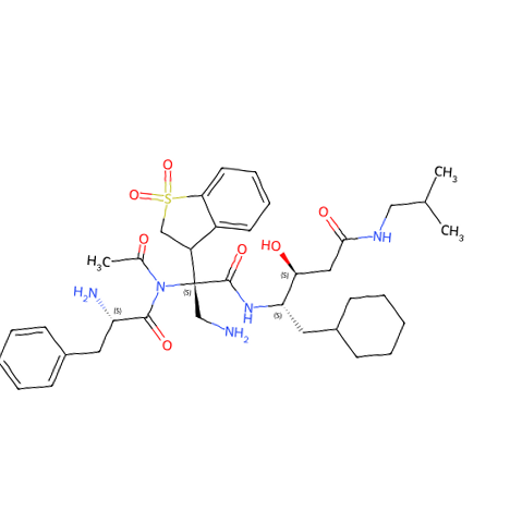 CC(=O)N(C(=O)[C@@H](N)Cc1ccccc1)[C@@](CN)(C(=O)N[C@@H](CC1CCCCC1)[C@@H](O)CC(=O)NCC(C)C)C1CS(=O)(=O)c2ccccc21